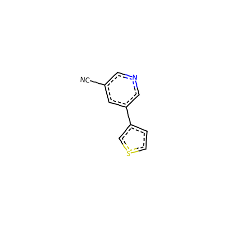 N#Cc1cncc(-c2ccsc2)c1